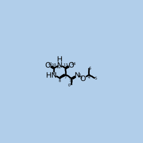 CC(=NOC(C)C)c1c[nH]c(=O)[nH]c1=O